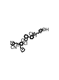 Cc1c(OCCCN2CC[C@@H](O)C2)cccc1-c1cccc2c1CCC2Oc1cc(OCc2cncc(C#N)c2)c(CN2CCCCC2)cc1Cl